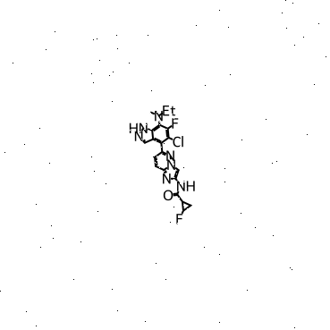 CCN(C)c1c(F)c(Cl)c(-c2ccc3nc(NC(=O)C4CC4F)cn3n2)c2cn[nH]c12